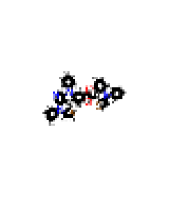 c1ccc(N2c3ccsc3B3c4oc5cc6c(cc5c4Oc4cccc2c43)N(c2ccccc2)c2cncc3c2B6c2sccc2N3c2ccccc2)cc1